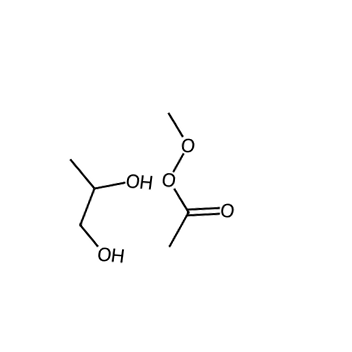 CC(O)CO.COOC(C)=O